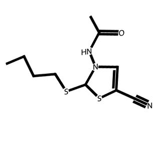 CCCCSC1SC(C#N)=CN1NC(C)=O